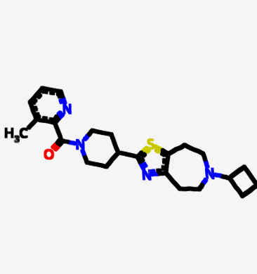 Cc1cccnc1C(=O)N1CCC(c2nc3c(s2)CCN(C2CCC2)CC3)CC1